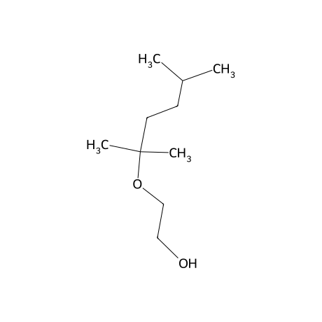 CC(C)CCC(C)(C)OCCO